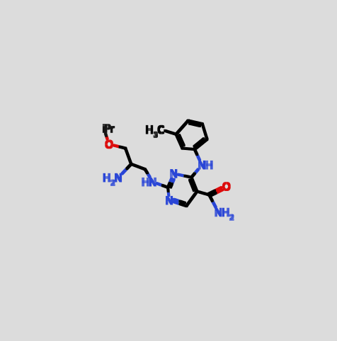 Cc1cccc(Nc2nc(NCC(N)COC(C)C)ncc2C(N)=O)c1